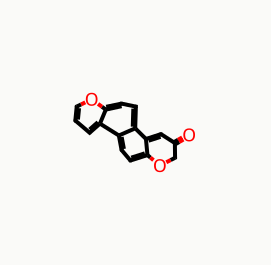 O=C1C=c2c(ccc3c4c(ccc23)OC=CC=4)OC1